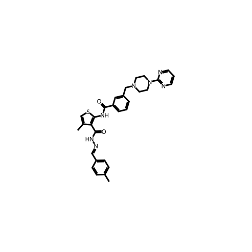 Cc1ccc(/C=N/NC(=O)c2c(C)csc2NC(=O)c2cccc(CN3CCN(c4ncccn4)CC3)c2)cc1